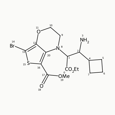 CCOC(=O)C(C(N)C1CCC1)N1CCOc2c(Br)sc(C(=O)OC)c21